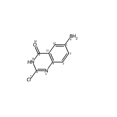 Bc1ccc2nc(Cl)[nH]c(=O)c2c1